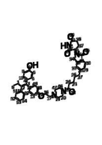 CCC(=C(c1ccc(O)cc1)c1ccc(OCCN2CCN(C(=O)CCCCc3ccc4c(c3)CN(C3CCC(=O)NC3=O)C4=O)CC2)cc1)c1ccccc1